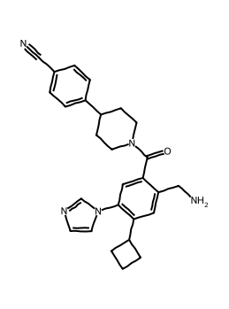 N#Cc1ccc(C2CCN(C(=O)c3cc(-n4ccnc4)c(C4CCC4)cc3CN)CC2)cc1